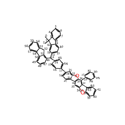 CC1(C)c2ccccc2-c2ccc(C(c3ccc(-c4ccc5c(c4)oc4c(-c6ccccc6)c6c(cc45)oc4ccccc46)cc3)c3cccc4c3Cc3ccccc3-4)cc21